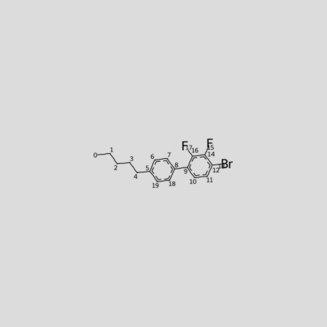 CCCCCc1ccc(-c2ccc(Br)c(F)c2F)cc1